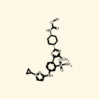 Cc1nc([C@H]2CC[C@H](NC(=O)OC(C)C)CC2)sc1-c1ccc(Nc2ccn(C3CC3)n2)cc1S(N)(=O)=O